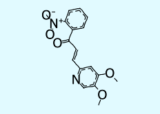 COc1cnc(C=CC(=O)c2ccccc2[N+](=O)[O-])cc1OC